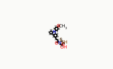 COc1ccc(N2c3ccc(/C=C/C(=O)N(CC(=O)O)C(=S)S)cc3C3CCCC32)cc1